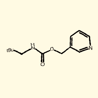 CC(C)(C)CNC(=O)OCc1cccnc1